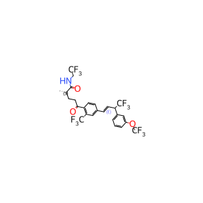 C[C@@H](CCC(=O)c1ccc(/C=C/C(c2cccc(OC(F)(F)F)c2)C(F)(F)F)cc1C(F)(F)F)C(=O)NCC(F)(F)F